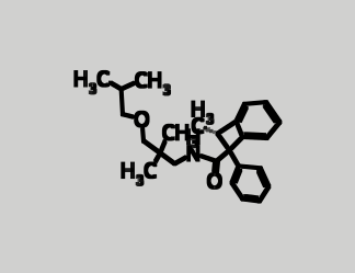 CC(C)COCC(C)(C)CNC(=O)C1(c2ccccc2)c2ccccc2[C@H]1C